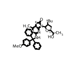 COc1ccc(C(Nc2nc(C)c3sc(=O)n(C4O[C@H]([C@H](C)O)CC4C(C)(C)C)c3n2)(c2ccccc2)c2ccccc2)cc1